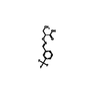 CCC(O/N=C/c1cccc(C(F)(F)F)c1)C(=O)O